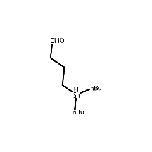 CCC[CH2][SnH]([CH2]CCC)[CH2]CCC=O